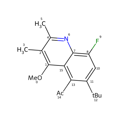 COc1c(C)c(C)nc2c(F)cc(C(C)(C)C)c(C(C)=O)c12